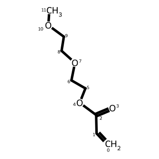 C=CC(=O)OCCOCCOC